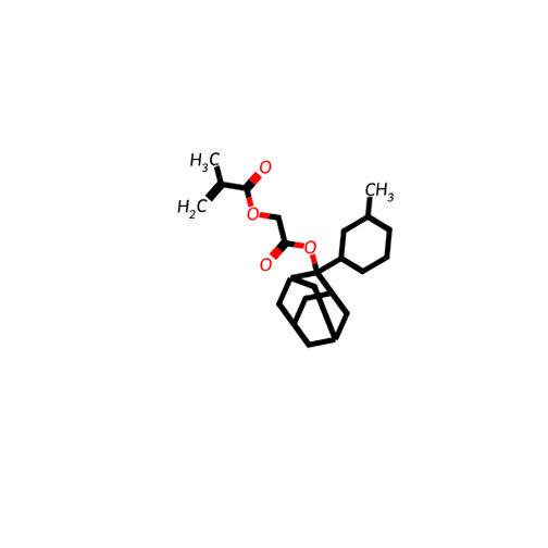 C=C(C)C(=O)OCC(=O)OC1(C2CCCC(C)C2)C2CC3CC(C2)CC1C3